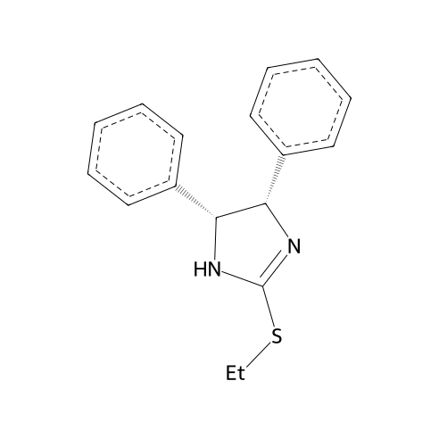 CCSC1=N[C@@H](c2ccccc2)[C@@H](c2ccccc2)N1